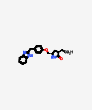 O=C(O)C[C@@H]1C[C@@H](COc2ccc(Cc3nc4ccccc4[nH]3)cc2)NC1=O